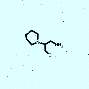 CCC(CN)N1CCCCC1